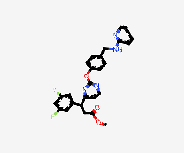 COC(=O)CC(c1cc(F)cc(F)c1)c1ccnc(Oc2ccc(CNc3ccccn3)cc2)n1